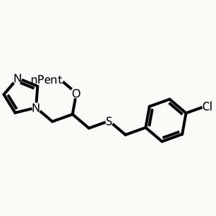 CCCCCOC(CSCc1ccc(Cl)cc1)Cn1ccnc1